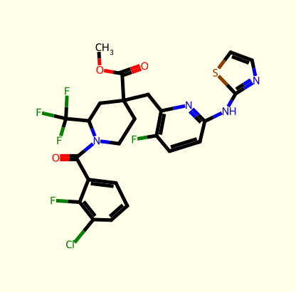 COC(=O)C1(Cc2nc(Nc3nccs3)ccc2F)CCN(C(=O)c2cccc(Cl)c2F)C(C(F)(F)F)C1